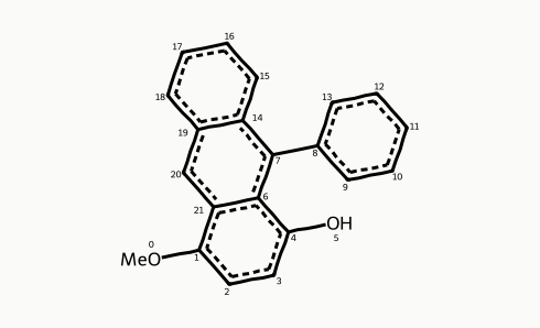 COc1ccc(O)c2c(-c3ccccc3)c3ccccc3cc12